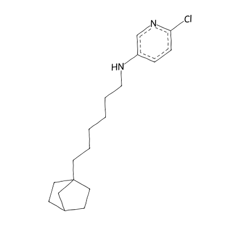 Clc1ccc(NCCCCCCC23CCC(CC2)C3)cn1